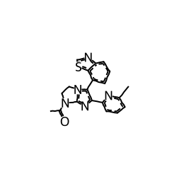 CC(=O)N1CCn2c1nc(-c1cccc(C)n1)c2-c1cccc2ncsc12